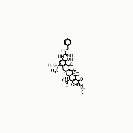 CN(C)c1cc(NC(=N)NCc2ccccc2)c(O)c2c1C[C@H]1C[C@H]3C(N(C)C)C(O)=C(C(=O)NN=[N+]=[N-])C(=O)[C@@]3(O)C(O)=C1C2=O